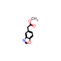 COC(=O)Cc1ccc2ocnc2c1